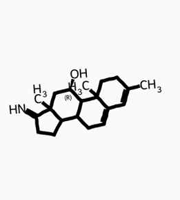 CC1=CC2=CCC3C4CCC(=N)C4(C)C[C@@H](O)C3C2(C)CC1